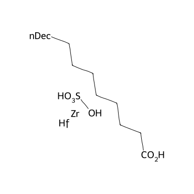 CCCCCCCCCCCCCCCCCC(=O)O.O=S(=O)(O)O.[Hf].[Zr]